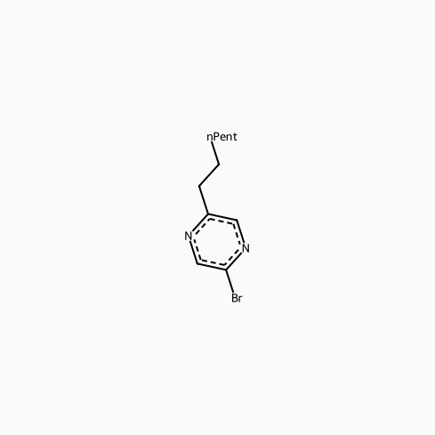 CCCCCCCc1cnc(Br)cn1